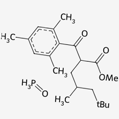 COC(=O)C(CC(C)CC(C)(C)C)C(=O)c1c(C)cc(C)cc1C.O=[PH3]